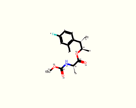 Cc1cc(F)ccc1[C@H](C(C)C)[C@@H](C)OC(=O)[C@H](C)NC(=O)OC(C)(C)C